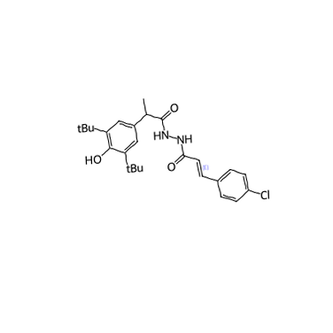 CC(C(=O)NNC(=O)/C=C/c1ccc(Cl)cc1)c1cc(C(C)(C)C)c(O)c(C(C)(C)C)c1